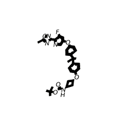 Cc1nc(-c2ncc(Oc3ccc(C(C)(C)c4ccc(O[C@H]5C[C@H](NC(=O)OC(C)(C)C)C5)cc4)cc3)cc2F)no1